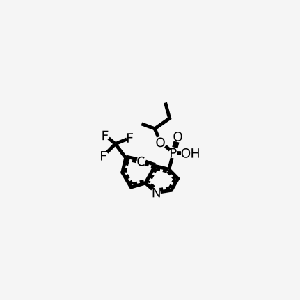 CCC(C)OP(=O)(O)c1ccnc2ccc(C(F)(F)F)cc12